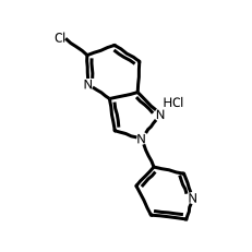 Cl.Clc1ccc2nn(-c3cccnc3)cc2n1